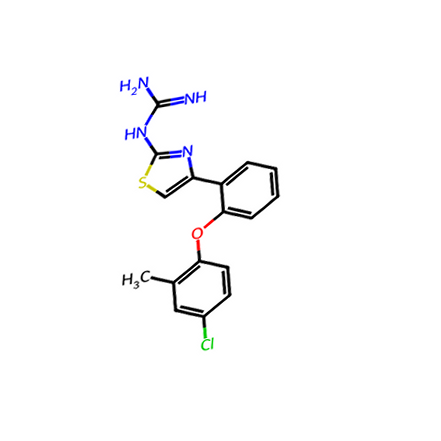 Cc1cc(Cl)ccc1Oc1ccccc1-c1csc(NC(=N)N)n1